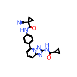 N#CC1(C(=O)Nc2ccc(-c3cccc4nc(NC(=O)C5CC5)nn34)cc2)CC1